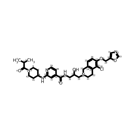 CC(C)C(=O)N1CCC(Nc2cc(C(=O)NCC(O)CN3CCc4c(ccc(OCc5cnco5)c4Cl)C3)ccn2)CC1